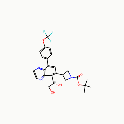 CC(C)(C)OC(=O)N1CC(c2cc(-c3ccc(OC(F)(F)F)cc3)c3nccnc3c2[C@H](O)CO)C1